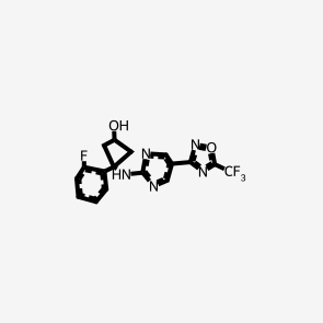 OC1CC(Nc2ncc(-c3noc(C(F)(F)F)n3)cn2)(c2ccccc2F)C1